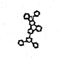 c1ccc(-c2cc(-c3ccccc3)cc(-c3ccc4c(c3)c3ccccc3c3cc5c(cc43)c3ccccc3n5-c3ccccc3)c2)cc1